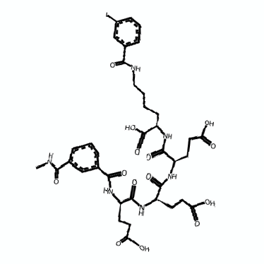 CNC(=O)c1cccc(C(=O)N[C@H](CCC(=O)O)C(=O)N[C@H](CCC(=O)O)C(=O)N[C@H](CCC(=O)O)C(=O)N[C@H](CCCCNC(=O)c2cccc(I)c2)C(=O)O)c1